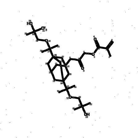 C=C(C)C(=O)OCC(=O)CC12CC3CC(C(C)(C)OCC(C)(C)O)(C1)CC(C(C)(C)OCC(C)(O)C(F)(F)F)(C3)C2